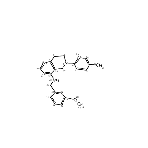 Cc1ccc(N2CCc3ncnc(NCc4cccc(OC(F)(F)F)c4)c3C2)nc1